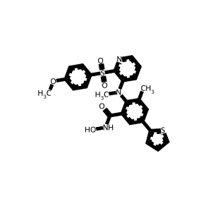 COc1ccc(S(=O)(=O)c2ncccc2N(C)c2c(C)cc(-c3cccs3)cc2C(=O)NO)cc1